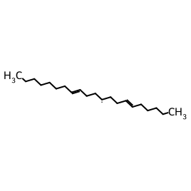 CCCCCC=CCC[CH]CCC=CCCCCCCC